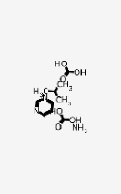 CC(C)C.N.O=C(O)O.O=C(O)O.c1cncnc1